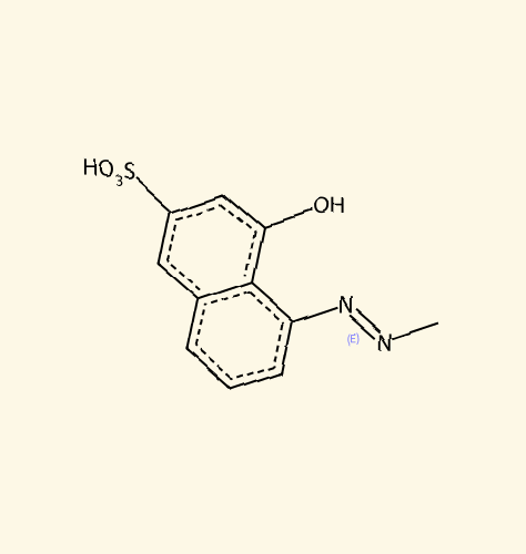 C/N=N/c1cccc2cc(S(=O)(=O)O)cc(O)c12